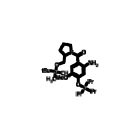 COc1cc(C(=O)N2CCCC2CO[Si](C)(C)C(C)(C)C)c(N)cc1O[Si](C(C)C)(C(C)C)C(C)C